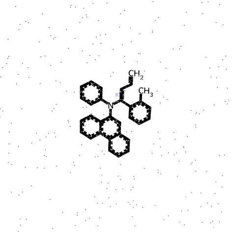 C=C/C=C(\c1ccccc1C)N(c1ccccc1)c1cc2ccccc2c2ccccc12